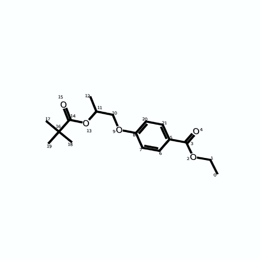 CCOC(=O)c1ccc(OCC(C)OC(=O)C(C)(C)C)cc1